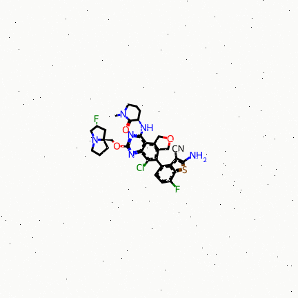 CN1CCC[C@@H](Nc2nc(OC[C@@]34CCCN3C[C@H](F)C4)nc3c(Cl)c(-c4ccc(F)c5sc(N)c(C#N)c45)c4c(c23)COC4)C1=O